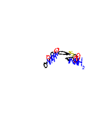 NOC(=O)CC(Sc1ccc(NC(=O)c2cccc(NC(=O)NCc3ccccc3)c2)cc1)C1=CC=CNC1